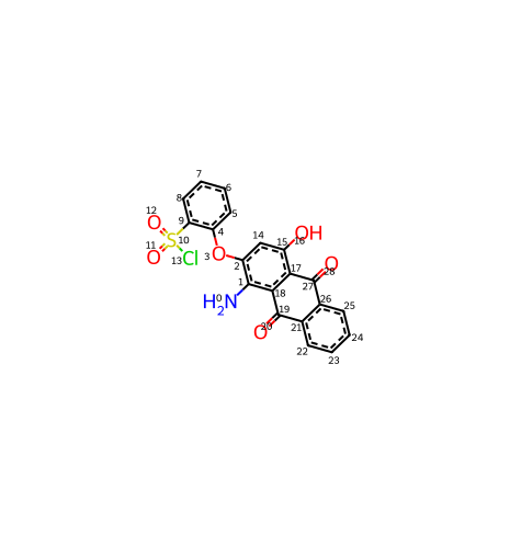 Nc1c(Oc2ccccc2S(=O)(=O)Cl)cc(O)c2c1C(=O)c1ccccc1C2=O